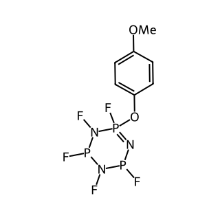 COc1ccc(OP2(F)=NP(F)N(F)P(F)N2F)cc1